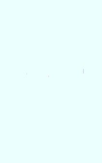 IC#CCOC1CCCCO1